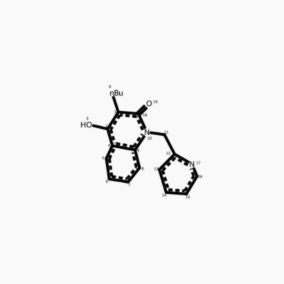 CCCCc1c(O)c2ccccc2n(Cc2ccccn2)c1=O